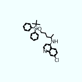 CC(CCCO[Si](c1ccccc1)(c1ccccc1)C(C)(C)C)Nc1ccnc2cc(Cl)ccc12